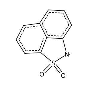 O=S1(=O)[N]c2cccc3cccc1c23